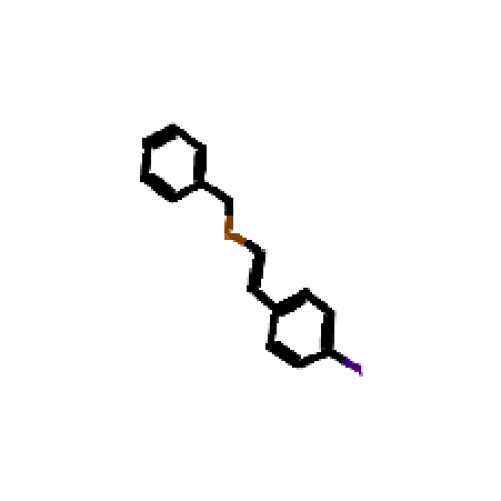 Ic1ccc(C=CSCc2ccccc2)cc1